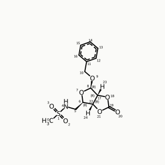 CS(=O)(=O)NC[C@H]1O[C@@H](OCc2ccccc2)[C@@H]2OC(=O)O[C@@H]21